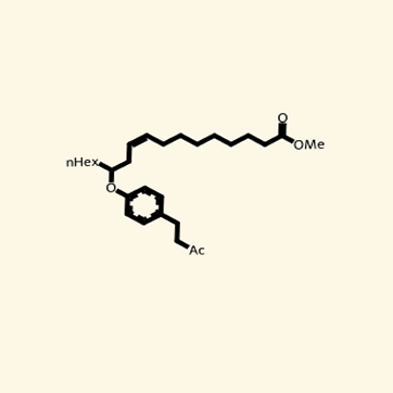 CCCCCCC(C/C=C\CCCCCCCC(=O)OC)Oc1ccc(CCC(C)=O)cc1